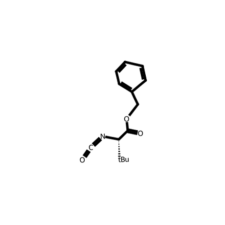 CC(C)(C)[C@H](N=C=O)C(=O)OCc1ccccc1